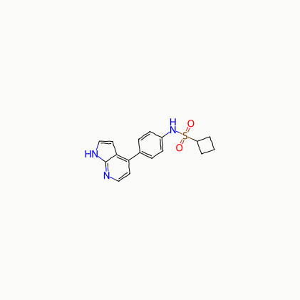 O=S(=O)(Nc1ccc(-c2ccnc3[nH]ccc23)cc1)C1CCC1